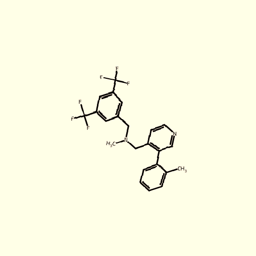 Cc1ccccc1-c1cnccc1CN(C)Cc1cc(C(F)(F)F)cc(C(F)(F)F)c1